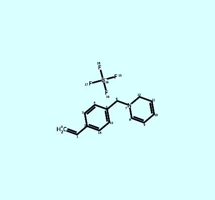 C=Cc1ccc(CN2C=CC=CC2)cc1.F[B-](F)(F)F